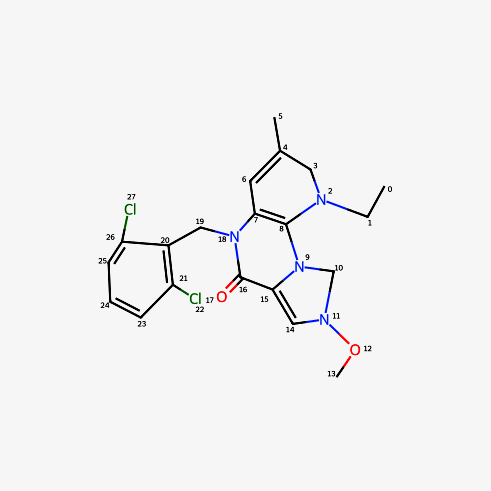 CCN1CC(C)=CC2=C1N1CN(OC)C=C1C(=O)N2Cc1c(Cl)cccc1Cl